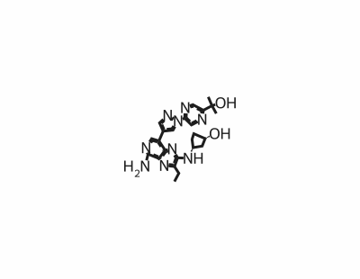 CCc1nc2c(N)ncc(-c3cnn(-c4cnc(C(C)(C)O)cn4)c3)c2nc1N[C@@H]1CC[C@H](O)C1